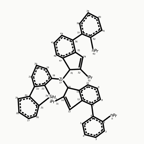 CCCc1ccccc1-c1cccc2c1C=C(C(C)C)[CH]2[Zr]([c]1cccc2c1[SiH2]c1ccccc1-2)[CH]1C(C(C)C)=Cc2c(-c3ccccc3CCC)cccc21